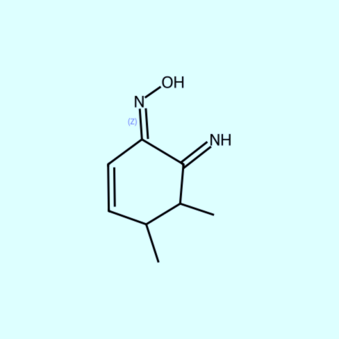 CC1C=C/C(=N/O)C(=N)C1C